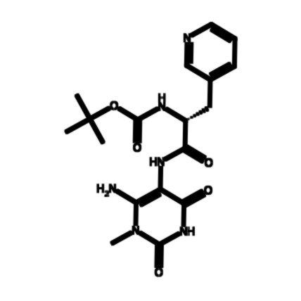 Cn1c(N)c(NC(=O)[C@@H](Cc2cccnc2)NC(=O)OC(C)(C)C)c(=O)[nH]c1=O